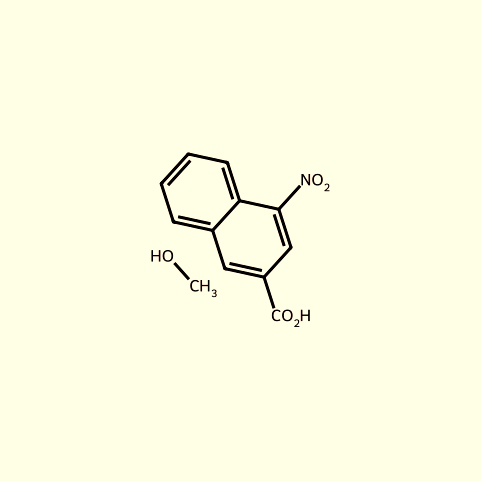 CO.O=C(O)c1cc([N+](=O)[O-])c2ccccc2c1